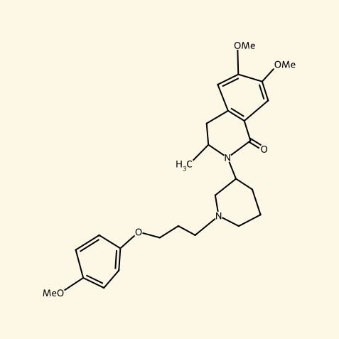 COc1ccc(OCCCN2CCCC(N3C(=O)c4cc(OC)c(OC)cc4CC3C)C2)cc1